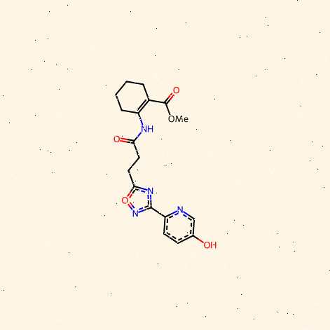 COC(=O)C1=C(NC(=O)CCc2nc(-c3ccc(O)cn3)no2)CCCC1